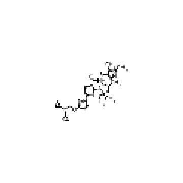 Cc1c(SNC(=O)c2ccc(-n3ccc(OCC(C4CC4)C4CC4)n3)nc2N2CC(C)CC2(C)C)cnn1C